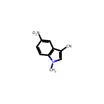 Cn1cc(C#N)c2cc([N+](=O)[O-])ccc21